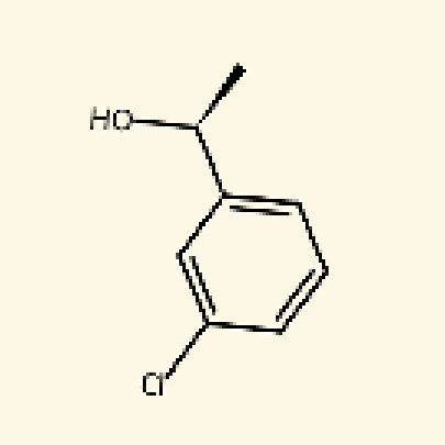 C[C@H](O)c1cccc(Cl)c1